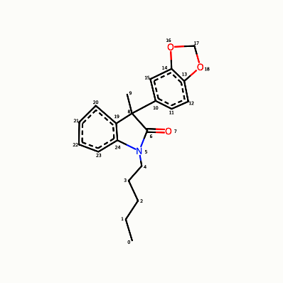 CCCCCN1C(=O)C(C)(c2ccc3c(c2)OCO3)c2ccccc21